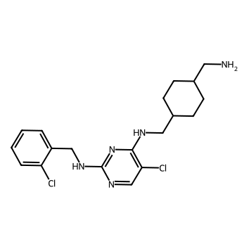 NCC1CCC(CNc2nc(NCc3ccccc3Cl)ncc2Cl)CC1